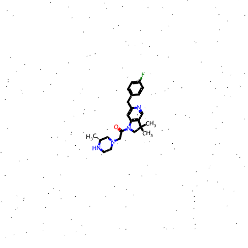 C[C@@H]1CN(CC(=O)N2CC(C)(C)c3cnc(Cc4ccc(F)cc4)cc32)CCN1